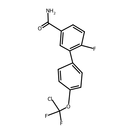 NC(=O)c1ccc(F)c(-c2ccc(OC(F)(F)Cl)cc2)c1